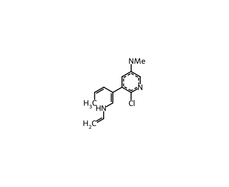 C=CN/C=C(\C=C/C)c1cc(NC)cnc1Cl